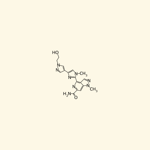 Cn1cc(-c2cnn(CCO)c2)nc1-c1nc(C(N)=O)cc2c1cnn2C